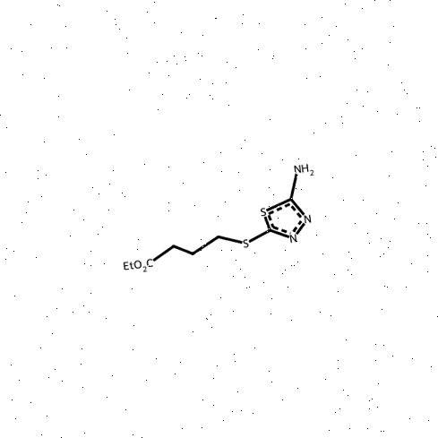 CCOC(=O)CCCSc1nnc(N)s1